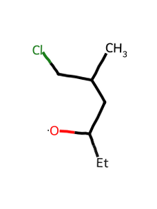 CCC([O])CC(C)CCl